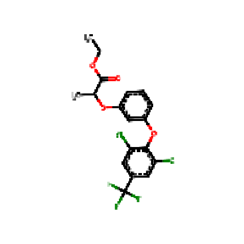 CCOC(=O)C(C)Oc1cccc(Oc2c(Cl)cc(C(F)(F)F)cc2Cl)c1